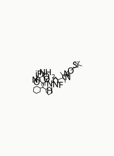 Cc1nn(COCC[Si](C)(C)C)c(C)c1-c1ccc(NC(=O)[C@H](c2onc(C(C)C)c2C(N)=O)C(C2CCCCC2)C2CCCCC2)nc1F